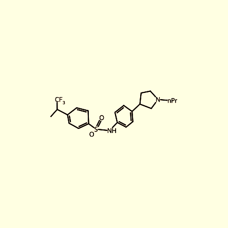 CCCN1CCC(c2ccc(NS(=O)(=O)c3ccc(C(C)C(F)(F)F)cc3)cc2)C1